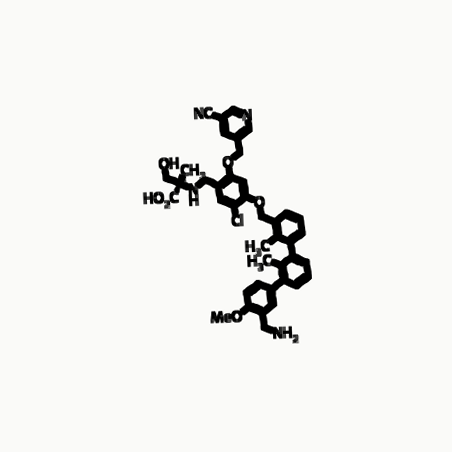 COc1ccc(-c2cccc(-c3cccc(COc4cc(OCc5cncc(C#N)c5)c(CN[C@@](C)(CO)C(=O)O)cc4Cl)c3C)c2C)cc1CN